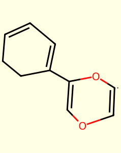 [C]1=COC=C(C2=CC=CCC2)O1